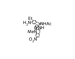 CCc1cc(C[C@@H](NC(C)=O)C(=O)N[C@@H](Cc2ccc([N+](=O)[O-])cc2)C(=O)NC)ccc1N